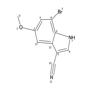 COc1cc(Br)c2[nH]cc(C#N)c2c1